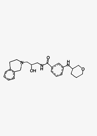 O=C(NCC(O)CN1CCc2ccccc2C1)c1cccc(NC2CCCOC2)c1